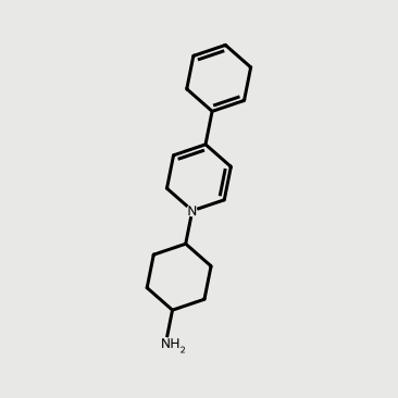 NC1CCC(N2C=CC(C3=CCC=CC3)=CC2)CC1